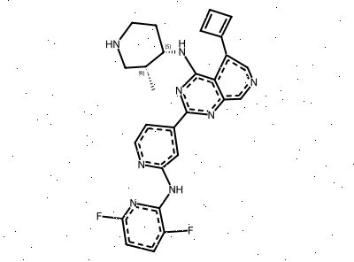 C[C@@H]1CNCC[C@@H]1Nc1nc(-c2ccnc(Nc3nc(F)ccc3F)c2)nc2cncc(C3=CC=C3)c12